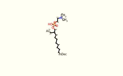 CCCCCCCCCCCCCCCCCCC(COP(=O)(O)OCCN(C)C)CC(C)=O